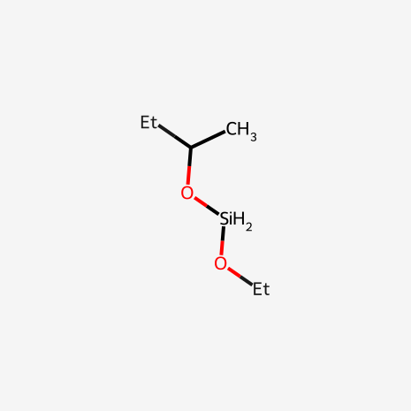 CCO[SiH2]OC(C)CC